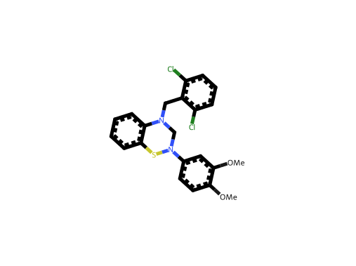 COc1ccc(N2CN(Cc3c(Cl)cccc3Cl)c3ccccc3S2)cc1OC